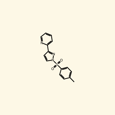 Cc1ccc(S(=O)(=O)n2ccc(-c3ccccn3)n2)cc1